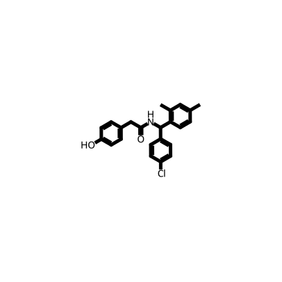 Cc1ccc(C(NC(=O)Cc2ccc(O)cc2)c2ccc(Cl)cc2)c(C)c1